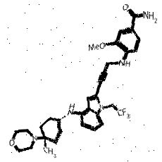 COc1cc(C(N)=O)ccc1NCC#Cc1cc2c(N[C@H]3CC[C@@](C)(N4CCOCC4)CC3)cccc2n1CC(F)(F)F